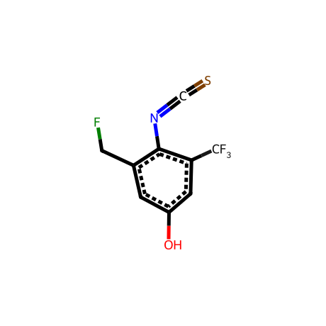 Oc1cc(CF)c(N=C=S)c(C(F)(F)F)c1